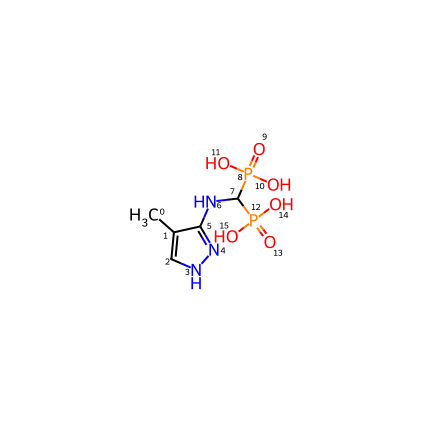 Cc1c[nH]nc1NC(P(=O)(O)O)P(=O)(O)O